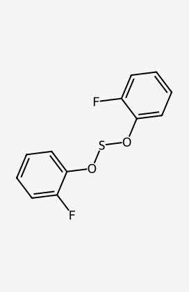 Fc1ccccc1OSOc1ccccc1F